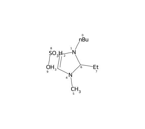 CCCCN1C=CN(C)C1CC.O=S(=O)(O)O